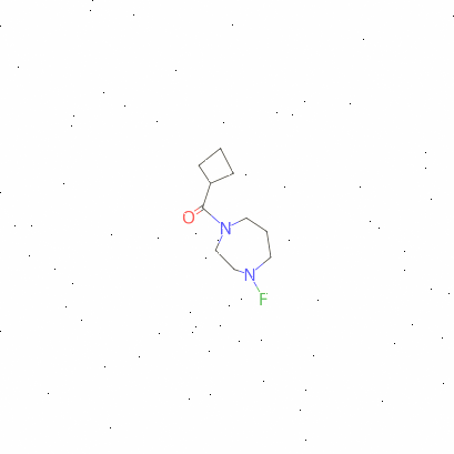 O=C(C1CCC1)N1CCCN(F)CC1